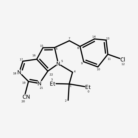 CCC(C)(CC)Cn1c(Cc2ccc(Cl)cc2)cc2cnc(C#N)nc21